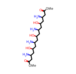 COC(=O)CC(N)CC(O)CC(N)CC(O)CC(N)CC(O)CC(N)CC(=O)OC